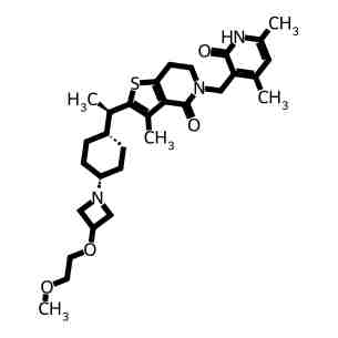 COCCOC1CN([C@H]2CC[C@@H]([C@@H](C)c3sc4c(c3C)C(=O)N(Cc3c(C)cc(C)[nH]c3=O)CC4)CC2)C1